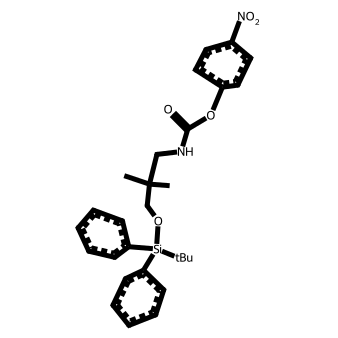 CC(C)(CNC(=O)Oc1ccc([N+](=O)[O-])cc1)CO[Si](c1ccccc1)(c1ccccc1)C(C)(C)C